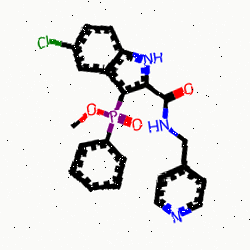 COP(=O)(c1ccccc1)c1c(C(=O)NCc2ccncc2)[nH]c2ccc(Cl)cc12